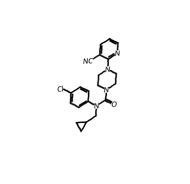 N#Cc1cccnc1N1CCN(C(=O)N(CC2CC2)c2ccc(Cl)cc2)CC1